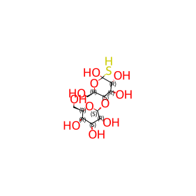 OC[C@H]1O[C@@H](O[C@H]2[C@H](O)[C@@H](O)C(O)(S)O[C@@H]2CO)[C@H](O)[C@@H](O)[C@H]1O